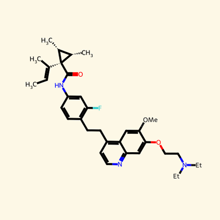 CC=C(C)[C@]1(C(=O)Nc2ccc(CCc3ccnc4cc(OCCN(CC)CC)c(OC)cc34)c(F)c2)[C@H](C)[C@@H]1C